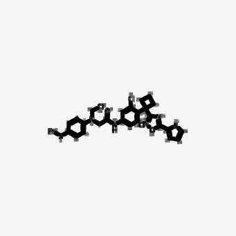 CCSc1ccc(N(CC(=O)Nc2cc(Cl)c(C3(c4noc(-c5cccs5)n4)CCC3)c(Cl)c2)CC(F)(F)F)cc1